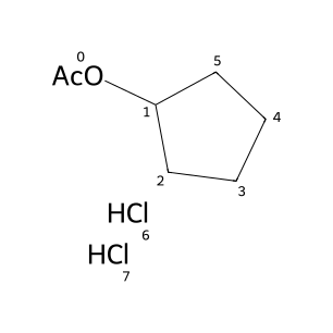 CC(=O)OC1CCCC1.Cl.Cl